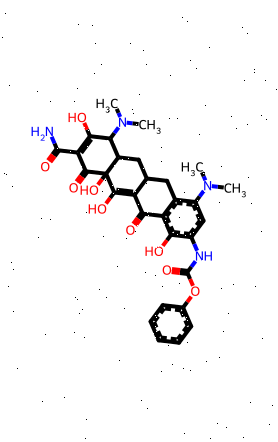 CN(C)c1cc(NC(=O)Oc2ccccc2)c(O)c2c1CC1CC3C(N(C)C)C(O)=C(C(N)=O)C(=O)C3(O)C(O)=C1C2=O